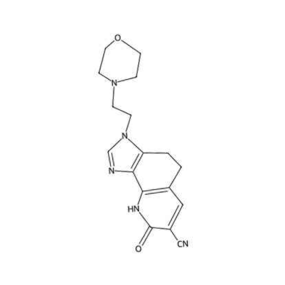 N#Cc1cc2c([nH]c1=O)-c1ncn(CCN3CCOCC3)c1CC2